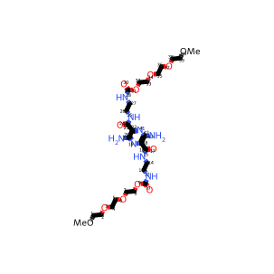 COCCOCCOCCOC(=O)NCCNC(=O)c1nc(N)c(C(=O)NCCNC(=O)OCCOCCOCCOC)nc1N